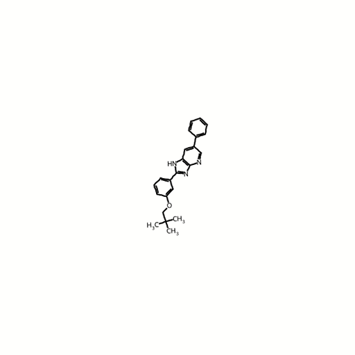 CC(C)(C)COc1cccc(-c2nc3ncc(-c4ccccc4)cc3[nH]2)c1